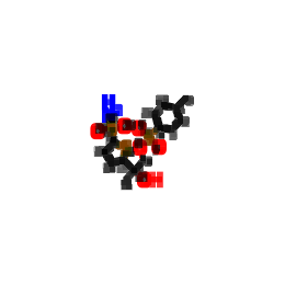 Cc1ccc(S(=O)(=O)OCC(C)(O)c2ccc(S(N)(=O)=O)s2)cc1